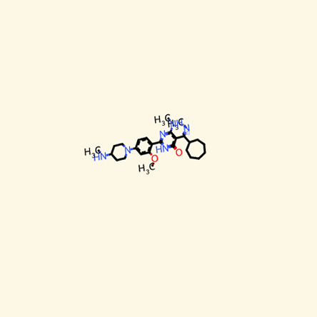 C/N=C(\c1c(NC)nc(-c2ccc(N3CCC(NC)CC3)cc2OC)[nH]c1=O)C1CCCCCC1